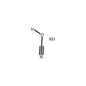 N#C[O][Ir].[KH]